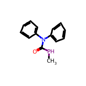 CPC(=O)N(c1ccccc1)c1ccccc1